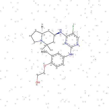 COc1cc(Nc2ncc(F)c(N[C@@H]3C[C@@H]4CCCN4C(C)(C)C3)n2)ccc1OCCO